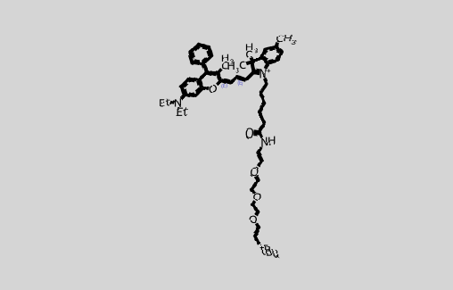 CCN(CC)c1ccc2c(c1)O/C(=C/C=C/C1=[N+](CCCCCC(=O)NCCOCCOCCOCCC(C)(C)C)c3ccc(C)cc3C1(C)C)C(C)=C2c1ccccc1